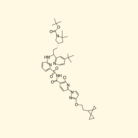 CC(C)(C)OC(=O)N1C[C@@H](CCC(Nc2cccc(S(=O)(=O)NC(=O)c3ccc(-n4ccc(OCCC5C6(CC6)C56CC6)n4)nc3Cl)n2)c2cc(C(C)(C)C)ccn2)CC1(C)C